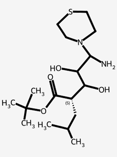 CC(C)C[C@H](C(=O)OC(C)(C)C)C(O)C(O)C(N)N1CCSCC1